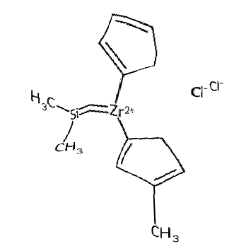 CC1=CC[C]([Zr+2]([C]2=CC=CC2)=[Si](C)C)=C1.[Cl-].[Cl-]